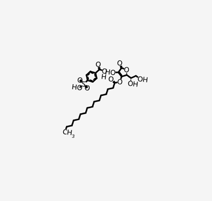 CCCCCCCCCCCCCCCC(=O)OC1=C(O)C(=O)O[C@@H]1[C@@H](O)CO.O=C(O)c1ccc(S(=O)(=O)O)cc1